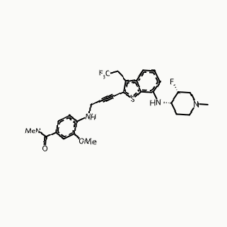 CNC(=O)c1ccc(NCC#Cc2sc3c(N[C@H]4CCN(C)C[C@H]4F)cccc3c2CC(F)(F)F)c(OC)c1